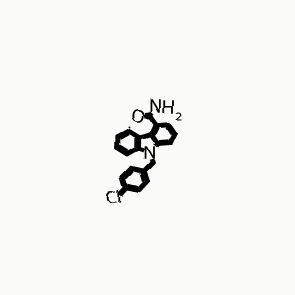 NC(=O)c1cccc2c1c1[c]cccc1n2Cc1ccc(Cl)cc1